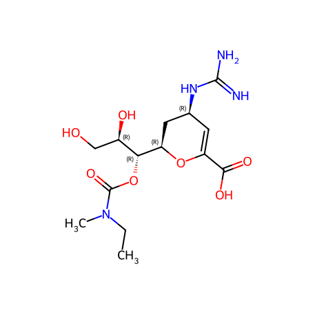 CCN(C)C(=O)O[C@H]([C@H](O)CO)[C@H]1C[C@@H](NC(=N)N)C=C(C(=O)O)O1